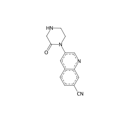 N#Cc1ccc2cc(N3CCNCC3=O)cnc2c1